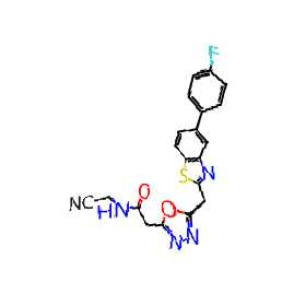 N#CCNC(=O)Cc1nnc(Cc2nc3cc(-c4ccc(F)cc4)ccc3s2)o1